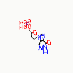 O=c1[nH]ncc2c1ncn2[C@H]1CC[C@@H](COP(=O)(O)O)O1